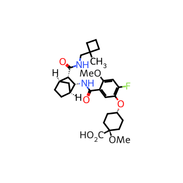 COc1cc(F)c(O[C@H]2CC[C@@](OC)(C(=O)O)CC2)cc1C(=O)N[C@@H]1[C@H]2CC[C@H](C2)[C@@H]1C(=O)NCC1(C)CCC1